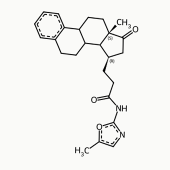 Cc1cnc(NC(=O)CC[C@@H]2CC(=O)[C@@]3(C)CCC4c5ccccc5CCC4C23)o1